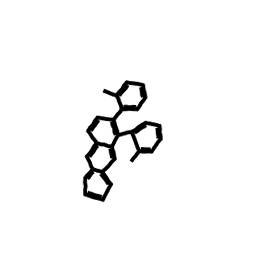 Cc1ccccc1-c1ccc2cc3ccccc3cc2c1-c1ccccc1C